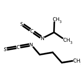 CC(C)N=C=S.CCCCN=C=S